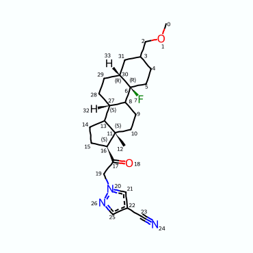 COCC1CC[C@]2(F)C3CC[C@@]4(C)C(CC[C@@H]4C(=O)Cn4cc(C#N)cn4)[C@@H]3CC[C@@H]2C1